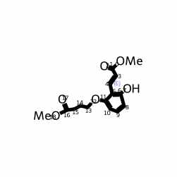 COC(=O)/C=C/c1c(O)cccc1OCCCC(=O)OC